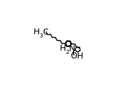 CCCCCCCCc1ccc(CC2=CCCC2(N)CO)cc1